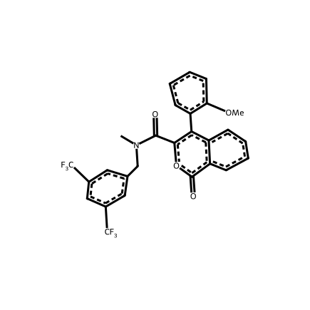 COc1ccccc1-c1c(C(=O)N(C)Cc2cc(C(F)(F)F)cc(C(F)(F)F)c2)oc(=O)c2ccccc12